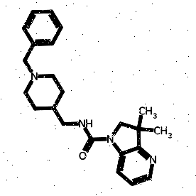 CC1(C)CN(C(=O)NCC2CCN(Cc3ccccc3)CC2)c2cccnc21